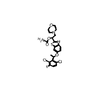 CC(Oc1ccc2nc(C(CN3CCOCC3)OC(N)=O)sc2c1)c1c(Cl)ccc(F)c1Cl